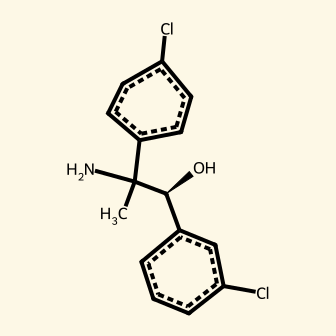 CC(N)(c1ccc(Cl)cc1)[C@@H](O)c1cccc(Cl)c1